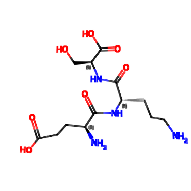 NCCC[C@H](NC(=O)[C@@H](N)CCC(=O)O)C(=O)N[C@@H](CO)C(=O)O